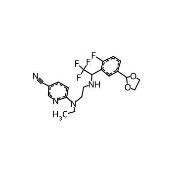 CCN(CCNC(c1cc(C2OCCO2)ccc1F)C(F)(F)F)c1ccc(C#N)cn1